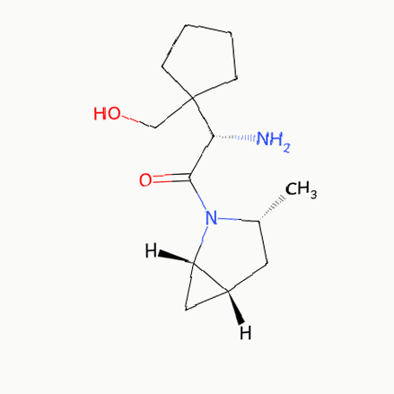 C[C@@H]1C[C@@H]2C[C@@H]2N1C(=O)[C@@H](N)C1(CO)CCCC1